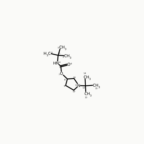 CC(C)(C)NC(=O)OC1CCN(C(C)(C)C)C1